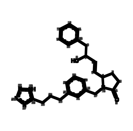 O=C1CCC(/C=C/C(O)Cc2ccccc2)N1Cc1cccc(CCCc2nnn[nH]2)c1